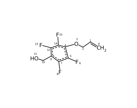 C=CCOc1c(F)c(F)c(CO)c(F)c1F